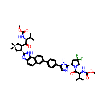 COC(=O)NC(C(=O)N1CC(F)(F)C[C@H]1c1ncc(-c2ccc(-c3ccc4c(ccc5nc([C@@H]6C[Si](C)(C)CC6C(=O)[C@@H](NC(=O)OC)C(C)C)[nH]c54)c3)cc2)[nH]1)C(C)C